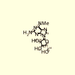 CNc1nc(N)nc2c1ncn2[C@@H]1O[C@H](CO)[C@@H](O)[C@H]1O